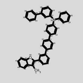 Cc1c(-c2cccc(-c3ccc(-c4ccc(N(c5ccccc5)c5cccc(-c6ccccc6)c5)cc4)cc3)c2)oc2ccccc12